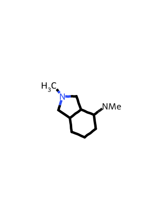 CNC1CCCC2CN(C)CC21